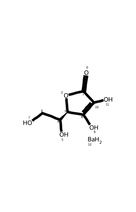 O=C1O[C@H](C(O)CO)C(O)=C1O.[BaH2]